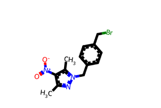 Cc1nn(Cc2ccc(CBr)cc2)c(C)c1[N+](=O)[O-]